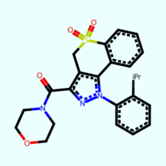 CC(C)c1ccccc1-n1nc(C(=O)N2CCOCC2)c2c1-c1ccccc1S(=O)(=O)C2